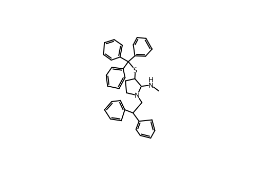 CNC1C(SC(c2ccccc2)(c2ccccc2)c2ccccc2)CCN1CC(c1ccccc1)c1ccccc1